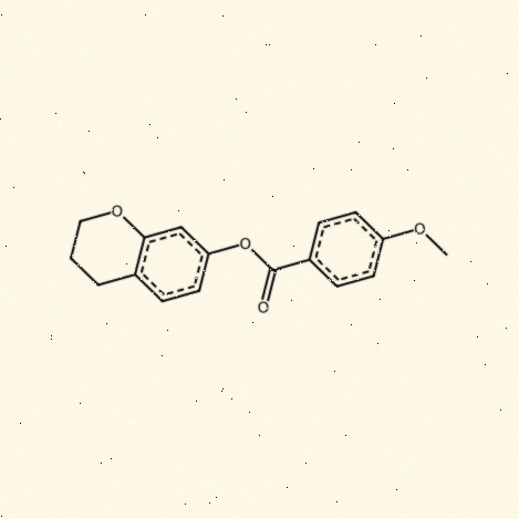 COc1ccc(C(=O)Oc2ccc3c(c2)OCCC3)cc1